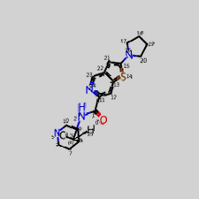 O=C(N[C@H]1CN2CCC1CC2)c1cc2sc(N3CCCC3)cc2cn1